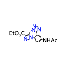 CCOC(=O)c1ncn2c1Cn1ncnc1-c1cc(NC(C)=O)ccc1-2